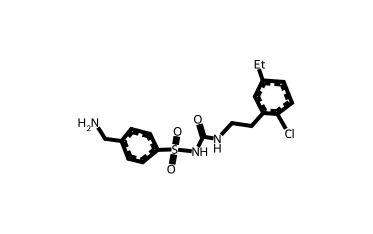 CCc1ccc(Cl)c(CCNC(=O)NS(=O)(=O)c2ccc(CN)cc2)c1